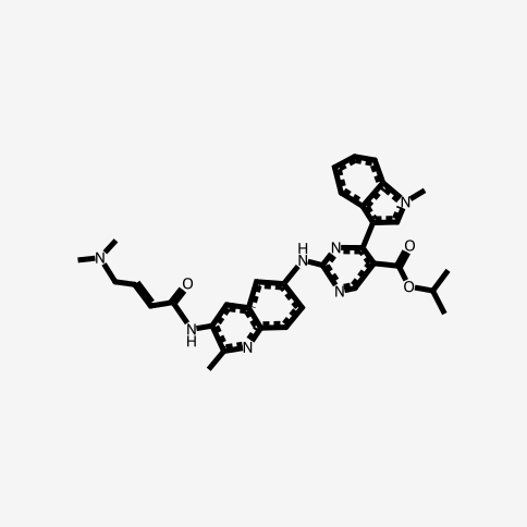 Cc1nc2ccc(Nc3ncc(C(=O)OC(C)C)c(-c4cn(C)c5ccccc45)n3)cc2cc1NC(=O)C=CCN(C)C